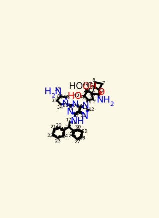 NC(=O)[C@]1(C2(C(=O)O)CCC2)C[C@@H](n2cnc3c(NCC(c4ccccc4)c4ccccc4)nc(N4CC[C@@H](N)C4)nc32)[C@H](O)[C@@H]1O